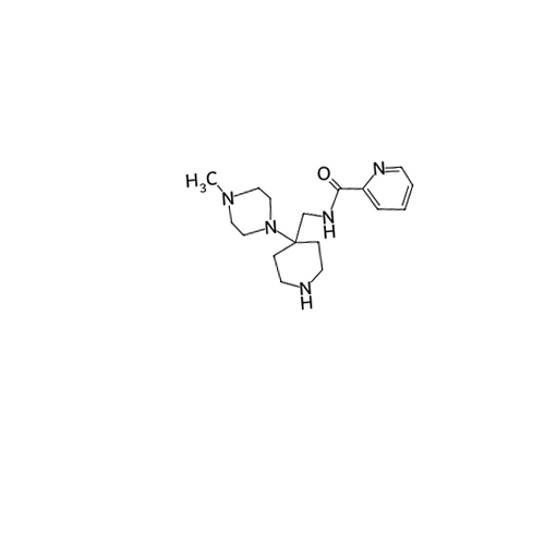 CN1CCN(C2(CNC(=O)c3ccccn3)CCNCC2)CC1